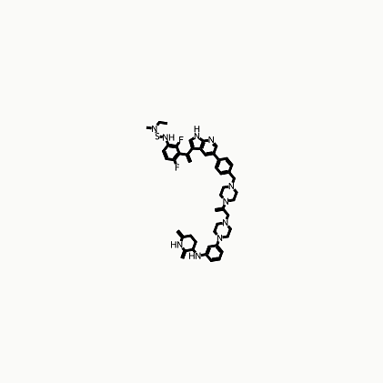 C=C1CCC(Nc2cccc(N3CCN(CC(=C)N4CCN(Cc5ccc(-c6cnc7[nH]cc(C(=C)c8c(F)ccc(NSN(C)CC)c8F)c7c6)cc5)CC4)CC3)c2)C(=C)N1